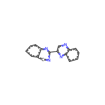 c1ccc2nc(-c3cnc4ccccc4n3)ncc2c1